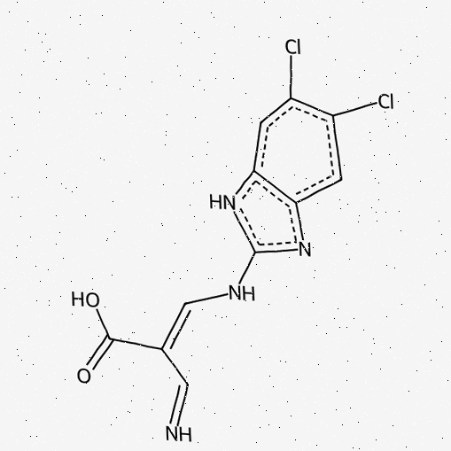 N=C/C(=C\Nc1nc2cc(Cl)c(Cl)cc2[nH]1)C(=O)O